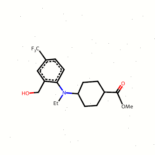 CCN(c1ccc(C(F)(F)F)cc1CO)C1CCC(C(=O)OC)CC1